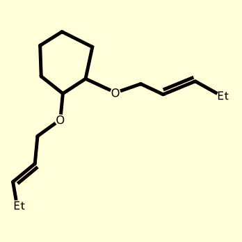 CC/C=C/COC1CCCCC1OC/C=C/CC